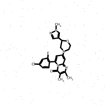 Cc1nc2cc(N3CCOC(c4cnn(C)c4)C3)cc(-c3ccc(Cl)cc3F)n2c(=O)c1C